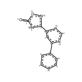 O=c1[nH]c(-c2cc(-c3ccccc3)ncn2)no1